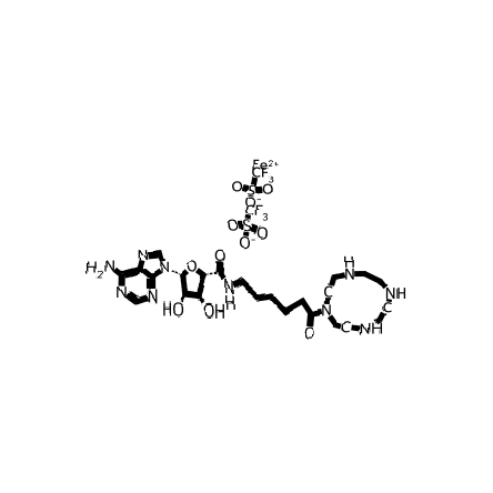 Nc1ncnc2c1ncn2[C@@H]1O[C@H](C(=O)NCCCCCC(=O)N2CCNCCNCCNCC2)[C@@H](O)[C@H]1O.O=S(=O)([O-])C(F)(F)F.O=S(=O)([O-])C(F)(F)F.[Fe+2]